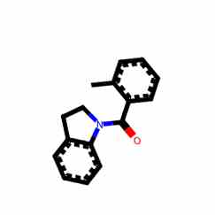 Cc1ccccc1C(=O)N1CCc2ccccc21